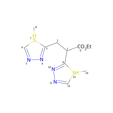 CCOC(=O)C(CC1=NN=C[SH]1C)C1=NN=C[SH]1C